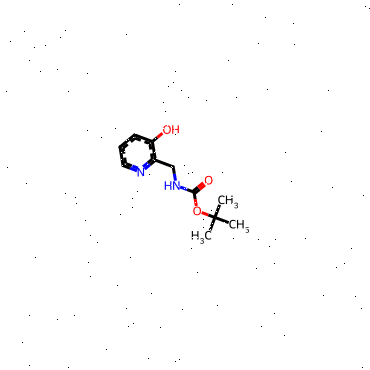 CC(C)(C)OC(=O)NCc1ncccc1O